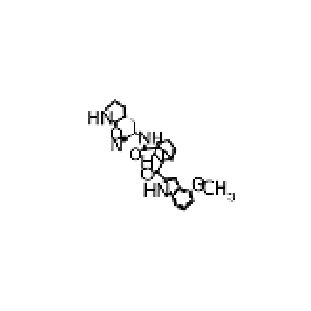 COc1cccc2[nH]c(C(=O)N3C4CCC(CC4)[C@@H]3C(=O)N[C@@H](C#N)C[C@H]3CCCNC3=O)cc12